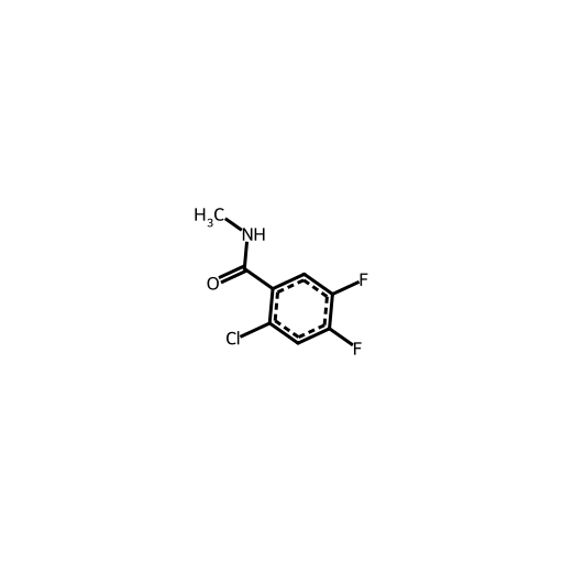 CNC(=O)c1cc(F)c(F)cc1Cl